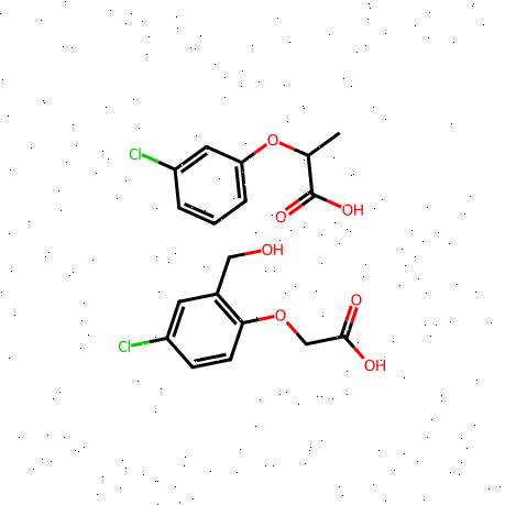 CC(Oc1cccc(Cl)c1)C(=O)O.O=C(O)COc1ccc(Cl)cc1CO